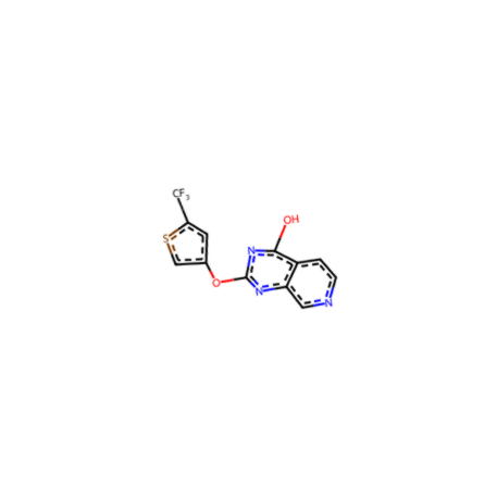 Oc1nc(Oc2csc(C(F)(F)F)c2)nc2cnccc12